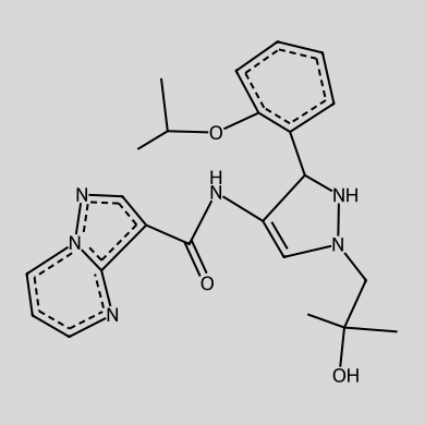 CC(C)Oc1ccccc1C1NN(CC(C)(C)O)C=C1NC(=O)c1cnn2cccnc12